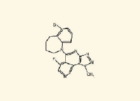 Cn1nnc2nc(N3CCCCc4c(Br)cccc43)c3c(F)cncc3c21